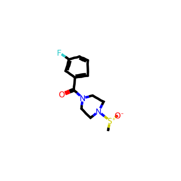 C[S+]([O-])N1CCN(C(=O)c2cccc(F)c2)CC1